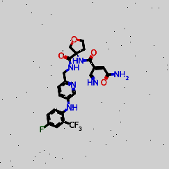 N=C/C(=C\C(N)=O)C(=O)N[C@@]1(C(=O)NCc2ccc(Nc3ccc(F)cc3C(F)(F)F)cn2)CCOC1